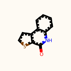 O=c1[nH]c2ccccc2c2ccsc12